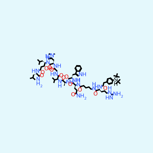 CC(C)C[C@H](NC(=O)C[C@H](O)[C@H](CC(C)C)NC(=O)[C@H](Cc1cncn1C)NC(=O)CNC(=O)[C@@H](NC(=O)[C@H](C)NC(=O)[C@H](Cc1c[nH]c2ccccc12)NC(=O)[C@H](CCC(N)=O)NC(=O)CCCCNC(=O)[C@H](CCCNC(=N)N)NC(=O)Cc1ccc([SiH](C(C)(C)C)C(C)(C)C)cc1)C(C)C)C(N)=O